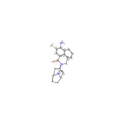 CN1C2CCC1CC(N1Cc3cccc4c(N)c(Br)cc(c34)C1=O)C2